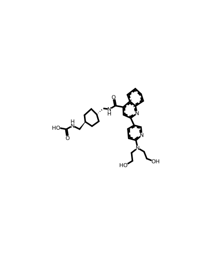 O=C(O)NC[C@H]1CC[C@H](CNC(=O)c2cc(-c3ccc(N(CCO)CCO)nc3)nc3ccccc23)CC1